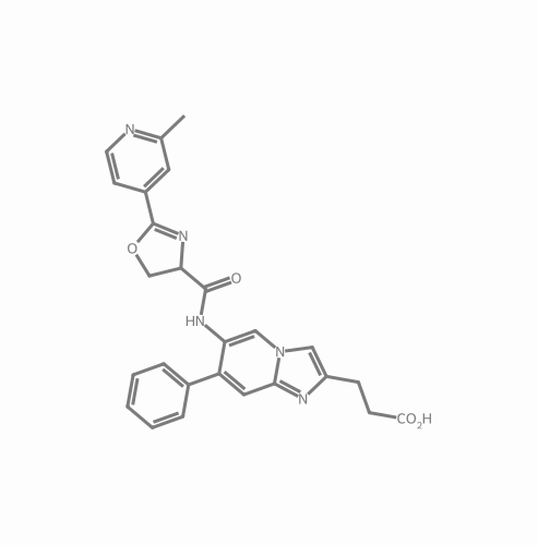 Cc1cc(C2=NC(C(=O)Nc3cn4cc(CCC(=O)O)nc4cc3-c3ccccc3)CO2)ccn1